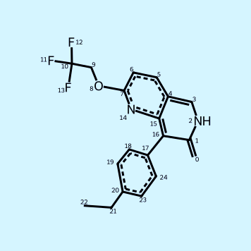 C=C1NC=c2ccc(OCC(F)(F)F)nc2=C1c1ccc(CC)cc1